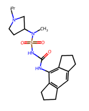 CC(C)N1CCC(N(C)S(=O)(=O)NC(=O)Nc2c3c(cc4c2CCC4)CCC3)C1